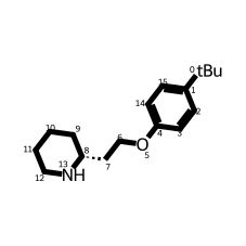 CC(C)(C)c1ccc(OCC[C@H]2CCCCN2)cc1